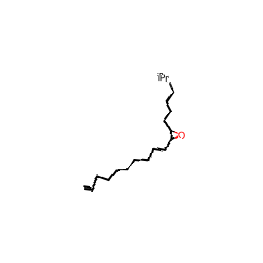 C=CCCCCCCCCC1OC1CCCCC(C)C